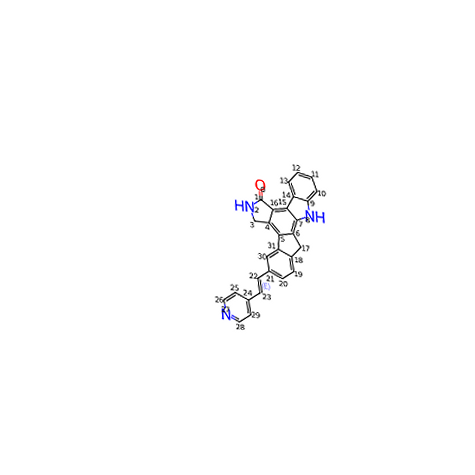 O=C1NCc2c3c(c4[nH]c5ccccc5c4c21)Cc1ccc(/C=C/c2ccncc2)cc1-3